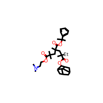 CCC(C)(CC(C)(CC(C)(C)C(=O)OCCN(C)C)C(=O)OC(C)(C)c1ccccc1)C(=O)OC1C2CC3CC(C2)CC1C3